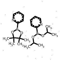 CC(C)OB(OC(C)C)c1ccccn1.CC1(C)OB(c2ccccn2)OC1(C)C